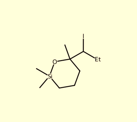 CCC(I)C1(C)CCC[Si](C)(C)O1